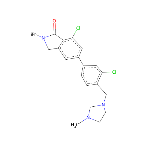 CC(C)N1Cc2cc(-c3ccc(CN4CCN(C)C4)c(Cl)c3)cc(Cl)c2C1=O